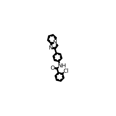 O=C(Nc1ccc(-c2cn3ccccc3n2)cc1)c1ccccc1Cl